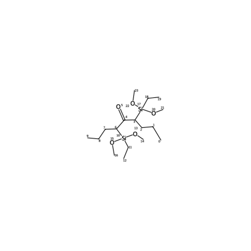 CCCC(C(=O)C(CCC)[Si](CC)(OC)OC)[Si](CC)(OC)OC